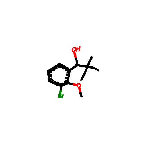 COc1c(Br)cccc1[C](O)C(C)(C)C